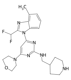 Cc1cccc2c1nc(C(F)F)n2-c1cc(N2CCOCC2)nc(NCC2CCNCC2)n1